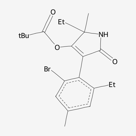 CCc1cc(C)cc(Br)c1C1=C(OC(=O)C(C)(C)C)C(C)(CC)NC1=O